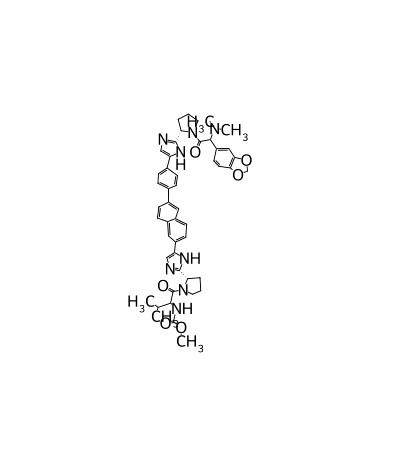 COC(=O)NC(C(=O)N1CCC[C@H]1c1ncc(-c2ccc3cc(-c4ccc(-c5cnc([C@@H]6CCCN6C(=O)C(c6ccc7c(c6)OCO7)N(C)C)[nH]5)cc4)ccc3c2)[nH]1)C(C)C